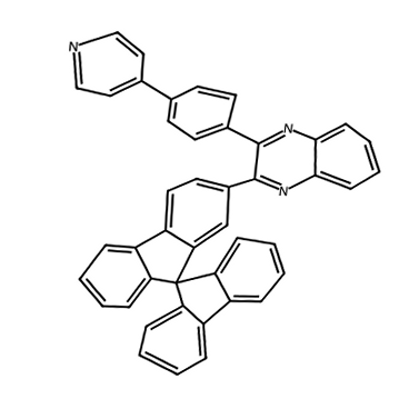 c1ccc2c(c1)-c1ccccc1C21c2ccccc2-c2ccc(-c3nc4ccccc4nc3-c3ccc(-c4ccncc4)cc3)cc21